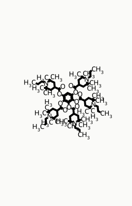 CCCN1C(C)(C)CC(C(=O)Oc2cc(OC(=O)C3CC(C)(C)N(CCC)C(C)(C)C3)c(OC(=O)C3CC(C)(C)N(CCC)C(C)(C)C3)c(OC(=O)C3CC(C)(C)N(CCC)C(C)(C)C3)c2OC(=O)C2CC(C)(C)N(CCC)C(C)(C)C2)CC1(C)C